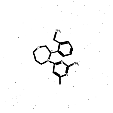 Cc1cc(N2CCCOC[C@H]2c2ccccc2CN)nc(N)n1